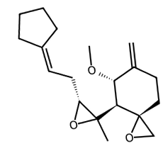 C=C1CC[C@]2(CO2)[C@@H](C2(C)O[C@@H]2CC=C2CCCC2)[C@@H]1OC